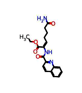 CCOC(=O)C(=CCCCC(N)=O)NC(=O)c1ccc2ccccc2n1